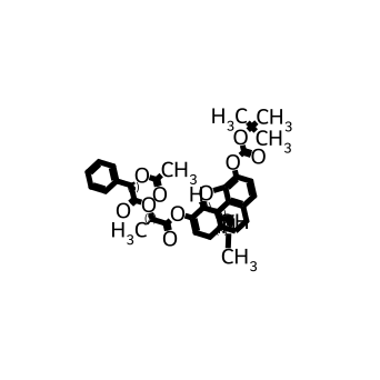 CC(=O)O[C@H](C(=O)O[C@@H](C)C(=O)OC1=CC[C@]2(O)C3Cc4ccc(OC(=O)OC(C)(C)C)c5c4[C@@]2(CCN3C)[C@H]1O5)c1ccccc1